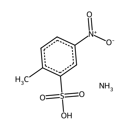 Cc1ccc([N+](=O)[O-])cc1S(=O)(=O)O.N